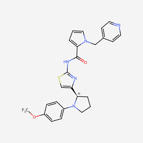 O=C(Nc1nc([C@H]2CCCN2c2ccc(OC(F)(F)F)cc2)cs1)c1cccn1Cc1ccncc1